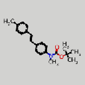 Cc1ccc(/C=C/c2ccc(N(C)C(=O)OC(C)(C)C)cc2)cc1